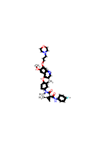 COc1cc2c(Oc3ccc(N(C)C(=O)[C@@]4(C(=O)Nc5ccc(F)cc5)C[C@H]4C)cc3C)ccnc2cc1OCCCN1CCOCC1